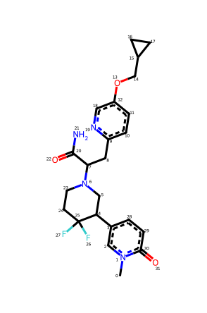 Cn1cc(C2CN(C(Cc3ccc(OCC4CC4)cn3)C(N)=O)CCC2(F)F)ccc1=O